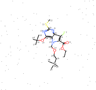 CCOC(=O)c1c(F)c2nc(SC)nc(OC(C)(C)C)c2n1COCC[Si](C)(C)C